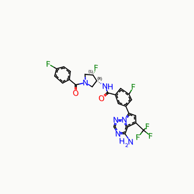 Nc1ncnn2c(-c3cc(F)cc(C(=O)N[C@@H]4CN(C(=O)c5ccc(F)cc5)C[C@@H]4F)c3)cc(C(F)(F)F)c12